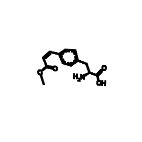 COC(=O)/C=C\c1ccc(C[C@H](N)C(=O)O)cc1